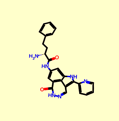 N[C@H](CCc1ccccc1)C(=O)Nc1cc2c3c(c(-c4ccccn4)[nH]c3c1)C=NNC2=O